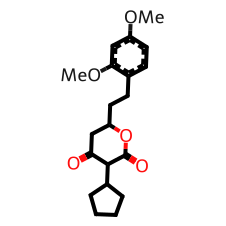 COc1ccc(CCC2CC(=O)C(C3CCCC3)C(=O)O2)c(OC)c1